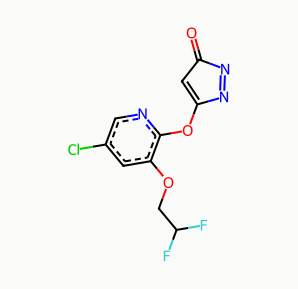 O=C1C=C(Oc2ncc(Cl)cc2OCC(F)F)N=N1